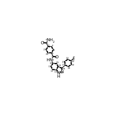 NC(=O)c1ccc(C(=O)Nc2ccc3[nH]nc(-c4ccc(F)cc4)c3c2)cc1